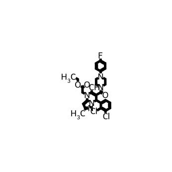 CCOC(=O)CN1C(C)=C(C(=O)N2CCN(c3ccc(F)cc3)CC2)C(c2cccc(Cl)c2Cl)n2nc(C)cc21